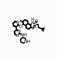 Cc1ccc2c(NS(=O)(=O)CCC3CC3)c(F)ccc2c1Oc1ncccc1-c1ccnc(N[C@H]2CCCNC2)n1